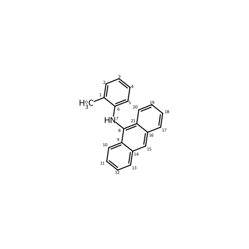 Cc1ccccc1Nc1c2ccccc2cc2ccccc12